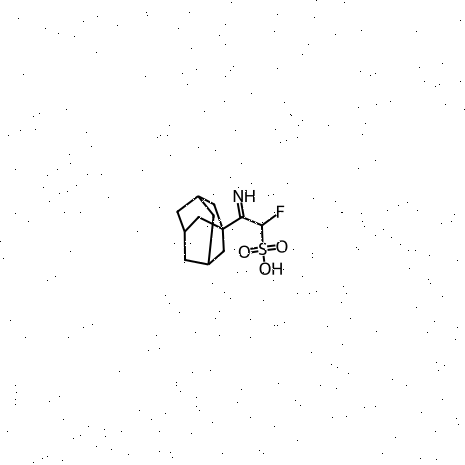 N=C(C(F)S(=O)(=O)O)C12CC3CC(CC(C3)C1)C2